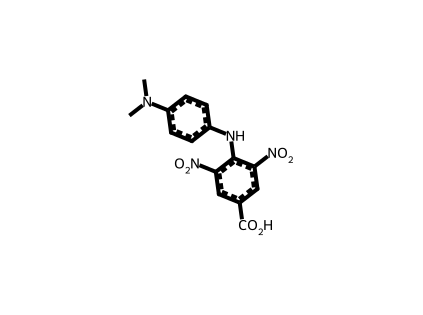 CN(C)c1ccc(Nc2c([N+](=O)[O-])cc(C(=O)O)cc2[N+](=O)[O-])cc1